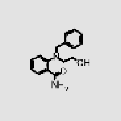 NC(=O)c1ccccc1N(CCO)Cc1ccccc1